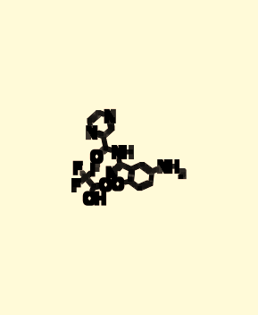 Nc1ccc2onc(NC(=O)c3cnccn3)c2c1.O=C(O)C(F)(F)F